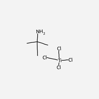 CC(C)(C)N.[Cl][Ti]([Cl])([Cl])[Cl]